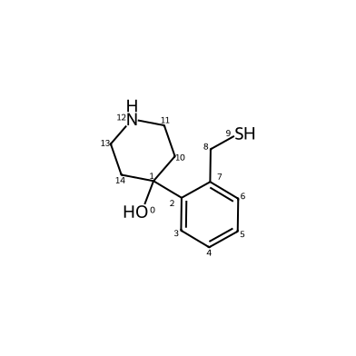 OC1(c2ccccc2CS)CCNCC1